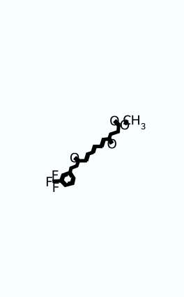 COC(=O)CCC(=O)C=CC=CC=CC(=O)CCc1cccc(C(F)(F)F)c1